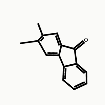 Cc1cc2c(cc1C)-c1ccccc1C2=O